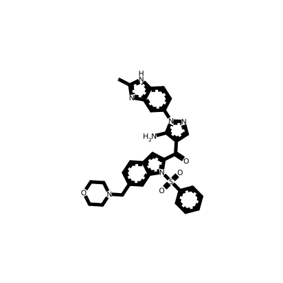 Cc1nc2cc(-n3ncc(C(=O)c4cc5ccc(CN6CCOCC6)cc5n4S(=O)(=O)c4ccccc4)c3N)ccc2[nH]1